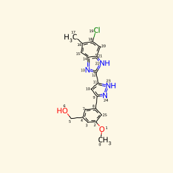 COc1cc(CO)cc(-c2cc(-c3nc4cc(C)c(Cl)cc4[nH]3)[nH]n2)c1